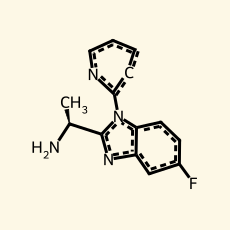 C[C@H](N)c1nc2cc(F)ccc2n1-c1ccccn1